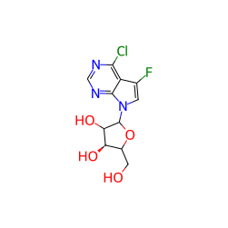 OCC1OC(n2cc(F)c3c(Cl)ncnc32)C(O)[C@@H]1O